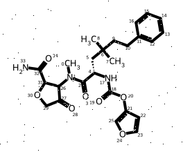 CN(C(=O)[C@H](CC(C)(C)CCc1ccccc1)NC(=O)Oc1ccoc1)C1C(=O)COC1C(N)=O